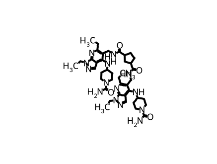 CCc1nc2c(cnn2CC)c(NC2CCN(C(N)=O)CC2)c1CNC(=O)C1CCC(C(=O)NCc2c(CC)nc3c(cnn3CC)c2NC2CCN(C(N)=O)CC2)C1